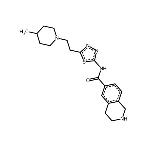 CC1CCN(CCc2nnc(NC(=O)c3ccc4c(c3)CCNC4)s2)CC1